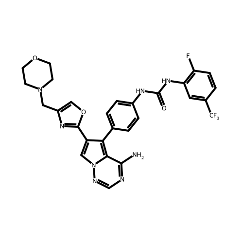 Nc1ncnn2cc(-c3nc(CN4CCOCC4)co3)c(-c3ccc(NC(=O)Nc4cc(C(F)(F)F)ccc4F)cc3)c12